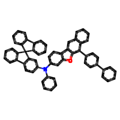 c1ccc(-c2ccc(-c3c4ccccc4cc4c3oc3cc(N(c5ccccc5)c5ccc6c(c5)C5(c7ccccc7-c7ccccc75)c5ccccc5-6)ccc34)cc2)cc1